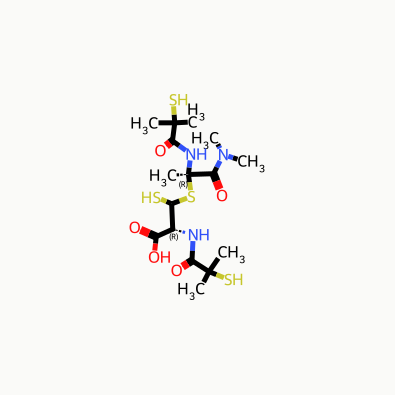 CN(C)C(=O)[C@](C)(NC(=O)C(C)(C)S)SC(S)[C@H](NC(=O)C(C)(C)S)C(=O)O